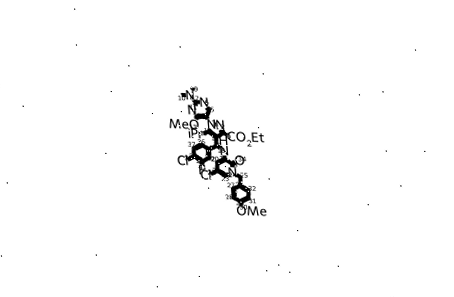 CCOC(=O)c1nn(-c2cnc(N(C)C)nc2OC)c(C(C)C)c1C(Nc1cc(Cl)cn(Cc2ccc(OC)cc2)c1=O)c1ccc(Cl)c(F)c1